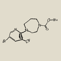 CC(C)(C)OC(=O)N1CCCN(c2ncc(Br)cc2C#N)CC1